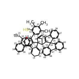 Cc1cc(-c2ccccc2C2(C3=CCCC=C3c3ccc(C(C)(C)C)c4ccccc34)C3=CC4=C(C2C3)C2(c3ccccc34)c3ccccc3-c3ccccc32)c(S)c(C)c1C